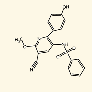 COc1nc(-c2ccc(O)cc2)c(NS(=O)(=O)c2ccccc2)cc1C#N